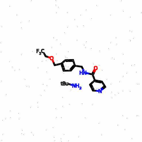 CC(C)(C)N.O=C(NCc1ccc(COCC(F)(F)F)cc1)c1ccncc1